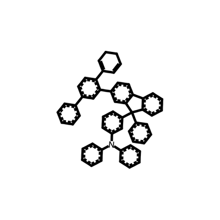 C1=CC(c2ccc(-c3ccccc3)cc2-c2ccc3c(c2)C(c2ccccc2)(c2cccc(N(c4ccccc4)c4ccccc4)c2)c2ccccc2-3)=CCC1